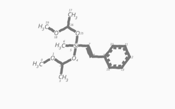 COC(C)O[Si](C)(/C=C/c1ccccc1)OC(C)OC